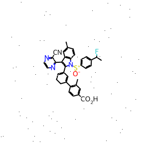 Cc1ccc2c(c1)c(-c1nccnc1C#N)c(C1=CCCC(c3ccc(C(=O)O)cc3C)=C1)n2[S+]([O-])c1ccc(C(C)F)cc1